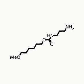 COCCCCCCOC(=O)NCCCN